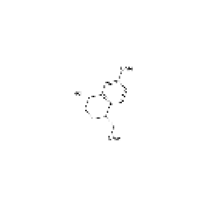 CNCC1CCCc2cc(OC)ccc21.Cl